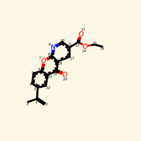 C=C(C)c1ccc2oc3ncc(C(=O)OCC)cc3c(=O)c2c1